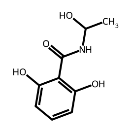 CC(O)NC(=O)c1c(O)cccc1O